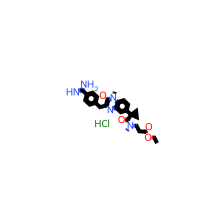 CCOC(=O)CCN(C)C(=O)C1(c2ccc3c(c2)nc(Cc2ccc(C(=N)N)cc2)c(=O)n3C)CC1.Cl